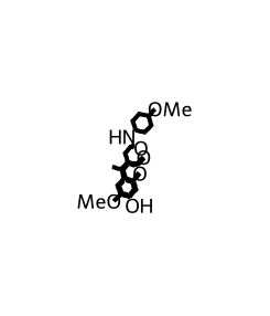 COc1cc2c(C)c(CC(=O)NC3CCC(OC)CC3)c(=O)oc2cc1O